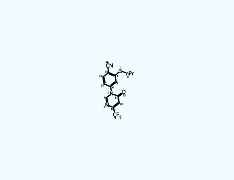 CCCSc1cc(-n2cnc(C(F)(F)F)cc2=O)ccc1C#N